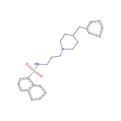 O=S(=O)(NCCCN1CCC(Cc2ccccc2)CC1)c1cccc2ccccc12